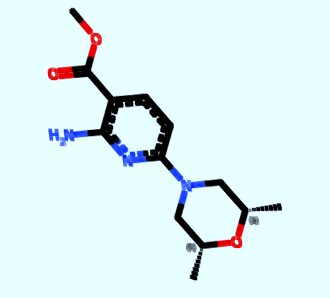 COC(=O)c1ccc(N2C[C@@H](C)O[C@@H](C)C2)nc1N